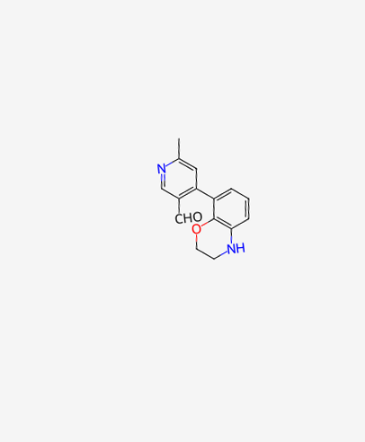 Cc1cc(-c2cccc3c2OCCN3)c(C=O)cn1